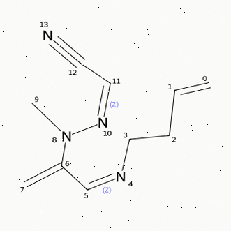 C=CCC/N=C\C(=C)N(C)/N=C\C#N